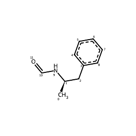 C[C@H](Cc1ccccc1)NC=O